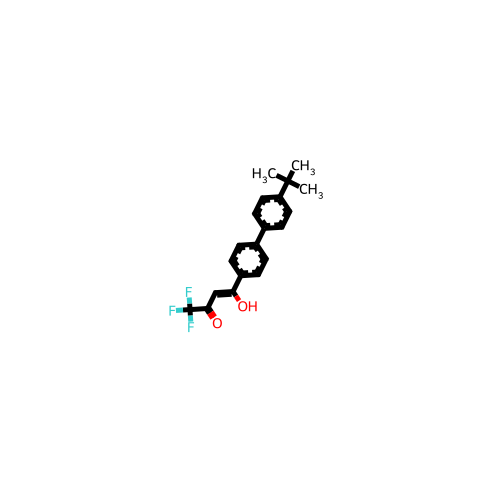 CC(C)(C)c1ccc(-c2ccc(C(O)=CC(=O)C(F)(F)F)cc2)cc1